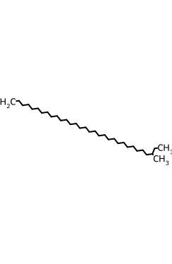 [CH2]CCCCCCCCCCCCCCCCCCCCCCCCCCCCC(C)CC